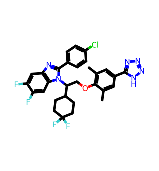 Cc1cc(-c2nnn[nH]2)cc(C)c1OCC(C1CCC(F)(F)CC1)n1c(-c2ccc(Cl)cc2)nc2cc(F)c(F)cc21